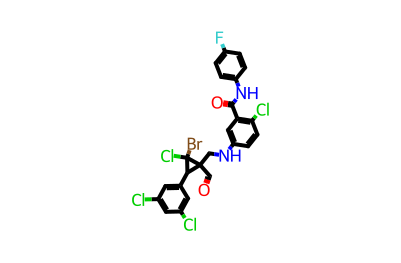 O=CC1(CNc2ccc(Cl)c(C(=O)Nc3ccc(F)cc3)c2)C(c2cc(Cl)cc(Cl)c2)C1(Cl)Br